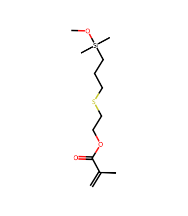 C=C(C)C(=O)OCCSCCC[Si](C)(C)OC